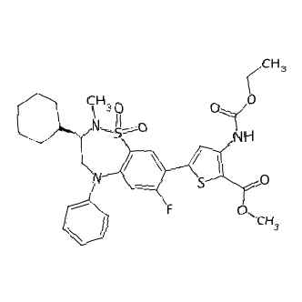 CCOC(=O)Nc1cc(-c2cc3c(cc2F)N(c2ccccc2)C[C@@H](C2CCCCC2)N(C)S3(=O)=O)sc1C(=O)OC